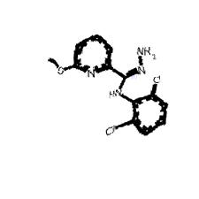 COc1cccc(/C(=N\N)Nc2c(Cl)cccc2Cl)n1